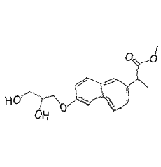 COC(=O)C(C)c1ccc2cc(OCC(O)CO)ccc2c1